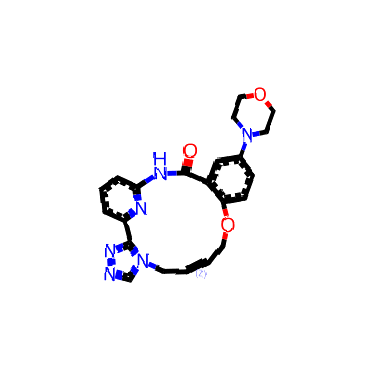 O=C1Nc2cccc(n2)-c2nncn2C/C=C\COc2ccc(N3CCOCC3)cc21